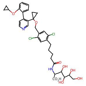 O=C(CCCCc1cc(Cl)c(COC2(c3cnccc3-c3ccccc3OC3CC3)CC2)cc1Cl)NC(C(=O)O)C(O)C(O)C(O)CO